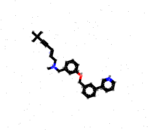 CN(C/C=C/C#CC(C)(C)C)Cc1cccc(OCc2cccc(-c3cccnc3)c2)c1